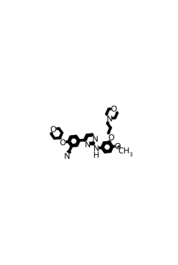 COc1ccc(Nc2nccc(-c3ccc(OC4CCOCC4)c(C#N)c3)n2)cc1OCCCN1CCOCC1